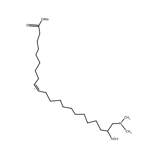 CCCCCCCCC(CCCCCCCCCC/C=C\CCCCCCCC(=O)OC)CN(C)C